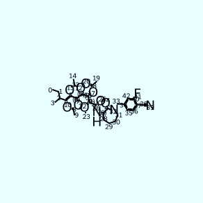 CCC(C)C=C[C@@H](OC(C)=O)[C@H](OC(C)=O)[C@@H](OC(C)=O)[C@@H](OC)C(=O)N[C@H]1CCCCN(Cc2ccc(C#N)c(F)c2)C1=O